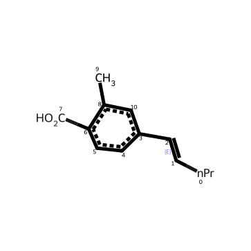 CCC/C=C/c1ccc(C(=O)O)c(C)c1